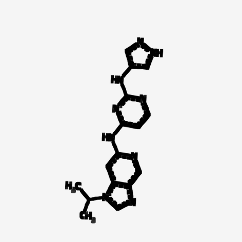 CC(C)n1cnc2cnc(Nc3ccnc(Nc4cn[nH]c4)n3)cc21